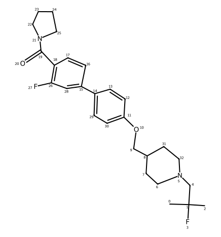 CC(C)(F)CN1CCC(COc2ccc(-c3ccc(C(=O)N4CCCC4)c(F)c3)cc2)CC1